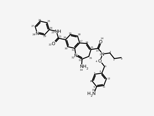 CCCN(OCc1ccc(N)cc1)C(=O)C1=Cc2ccc(C(=O)Nc3cccnc3)cc2N=C(N)C1